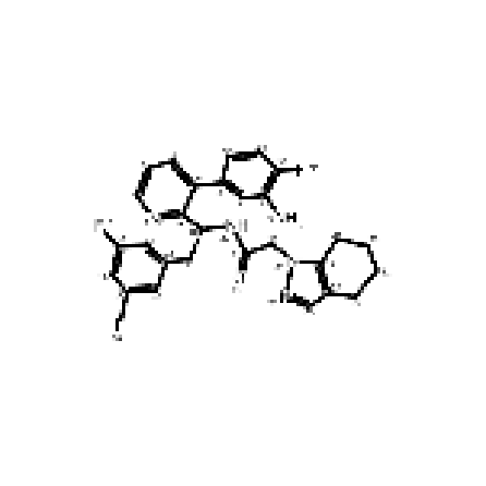 Nc1cc(-c2cccnc2[C@H](Cc2cc(F)cc(F)c2)NC(=O)Cn2ncc3c2CCCC3)ccc1F